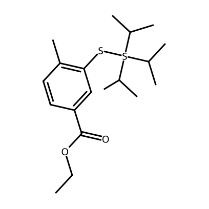 CCOC(=O)c1ccc(C)c(SS(C(C)C)(C(C)C)C(C)C)c1